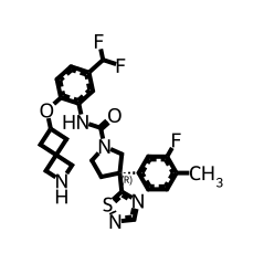 Cc1ccc([C@]2(c3ncns3)CCN(C(=O)Nc3cc(C(F)F)ccc3OC3CC4(CNC4)C3)C2)cc1F